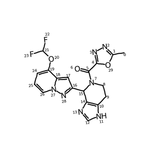 Cc1nnc(C(=O)N2CCc3[nH]cnc3C2c2cc3c(OC(F)F)cccn3n2)o1